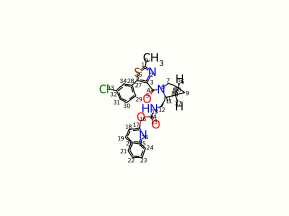 Cc1nc(C(=O)N2C[C@@H]3C[C@@H]3[C@H]2CNC(=O)Oc2ccc3ccccc3n2)c(-c2cccc(Cl)c2)s1